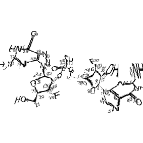 Nc1nc2c(nnn2[C@@H]2O[C@H](COP(=O)(S)O[C@@H]3[C@H](F)[C@@H](CO)O[C@H]3n3nnc4c(=O)[nH]c(N)nc43)[C@@H](F)[C@H]2O)c(=O)[nH]1